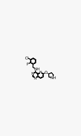 Fc1c(Cl)cccc1CNc1ncnc2ccc(O[C@H]3CCNC3)nc12